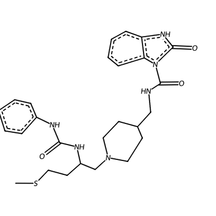 CSCCC(CN1CCC(CNC(=O)n2c(=O)[nH]c3ccccc32)CC1)NC(=O)Nc1ccccc1